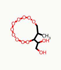 CC1COOOOOOOOOOC1C(O)CO